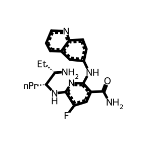 CCC[C@@H](Nc1nc(Nc2ccc3ncccc3c2)c(C(N)=O)cc1F)[C@@H](N)CC